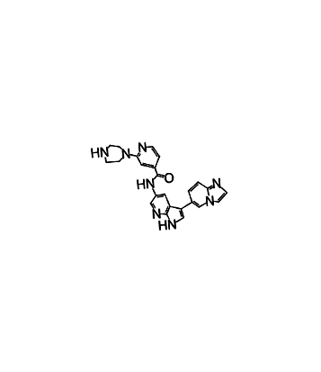 O=C(Nc1cnc2[nH]cc(-c3ccc4nccn4c3)c2c1)c1ccnc(N2CCNCC2)c1